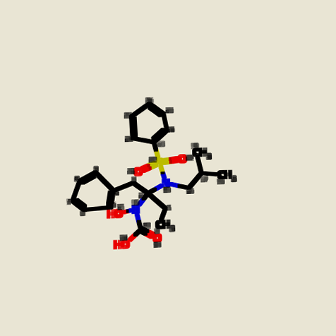 CCC(Cc1ccccc1)(N(O)C(=O)O)N(CC(C)C)S(=O)(=O)c1ccccc1